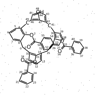 O=C(Oc1c2cccc1Cc1cccc(c1OC(=O)c1ccccc1)Cc1cccc(c1OC(=O)c1ccccc1)Cc1cccc(c1O)C2)c1ccccc1